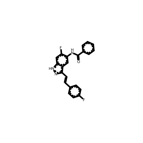 O=C(Nc1cc2c(/C=C/c3ccc(F)cc3)n[nH]c2cc1F)c1ccccc1